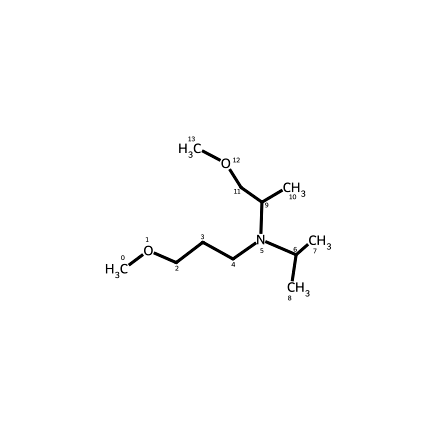 COCCCN(C(C)C)C(C)COC